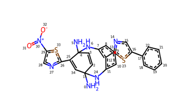 NC12C=CC(N)(Nc3cccc(c3-c3ncc(-c4ccccc4)s3)N1)C(c1ncc([N+](=O)[O-])s1)=C2